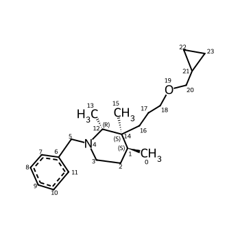 C[C@H]1CCN(Cc2ccccc2)[C@H](C)[C@@]1(C)CCCOCC1CC1